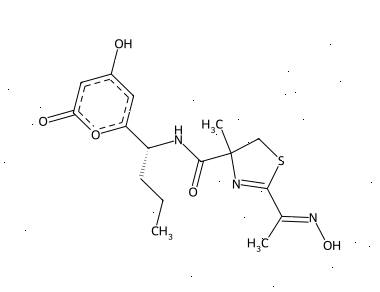 CCC[C@@H](NC(=O)C1(C)CSC(/C(C)=N/O)=N1)c1cc(O)cc(=O)o1